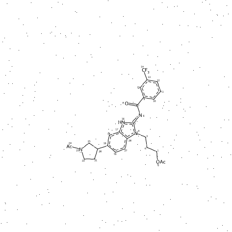 CC(=O)OCCCn1/c(=N/C(=O)c2cccc(C(F)(F)F)c2)[nH]c2cc(C3CCN(C(C)=O)C3)ccc21